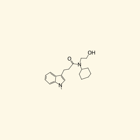 Cn1cc(CCC(=O)N(CCO)C2CCCCC2)c2ccccc21